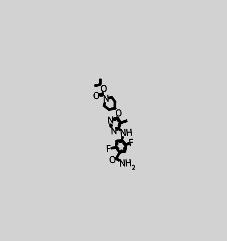 Cc1c(Nc2cc(F)c(C(N)=O)cc2F)ncnc1OC1CCN(C(=O)OC(C)C)CC1